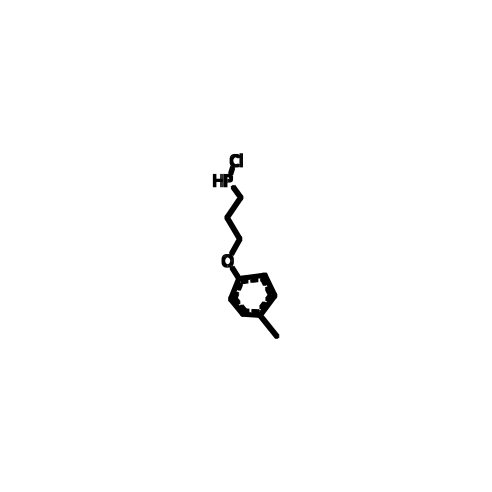 Cc1ccc(OCCCPCl)cc1